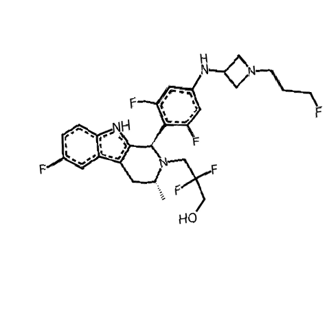 C[C@@H]1Cc2c([nH]c3ccc(F)cc23)[C@@H](c2c(F)cc(NC3CN(CCCF)C3)cc2F)N1CC(F)(F)CO